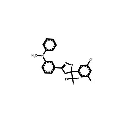 CN(c1ccccc1)c1cccc(C2=NOC(c3cc(Cl)cc(Cl)c3)(C(F)(F)F)C2)c1